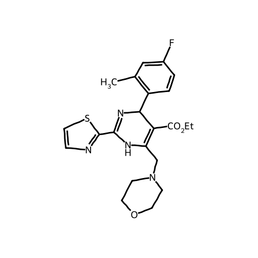 CCOC(=O)C1=C(CN2CCOCC2)NC(c2nccs2)=NC1c1ccc(F)cc1C